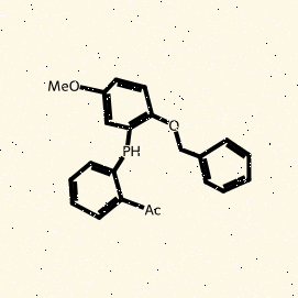 COc1ccc(OCc2ccccc2)c(Pc2ccccc2C(C)=O)c1